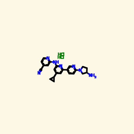 Cl.Cl.N#Cc1ccnc(Nc2cc(C3CC3)cc(-c3ccc(N4CC[C@@H](N)C4)nc3)n2)c1